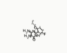 CCCOc1ccc(F)cc1-c1nc(N)c(N)c(=O)[nH]1